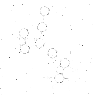 Bc1c(B)c(B)c2c(sc3c(-c4ccc(-c5nc(-c6ccc(-c7ccccc7)cc6)nc(-c6cccc7oc8ccccc8c67)n5)cc4)c(B)c(B)c(B)c32)c1B